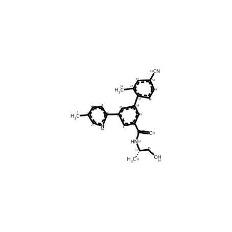 Cc1ccc(-c2cc(C(=O)N[C@@H](C)CO)cc(-c3ccc(C#N)cc3C)c2)nc1